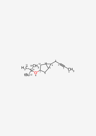 CC#CCC1C2CC(O[Si](C)(C)C(C)(C)C)CC12